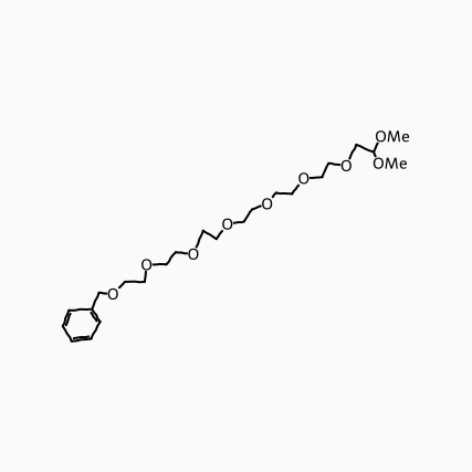 COC(COCCOCCOCCOCCOCCOCCOCc1ccccc1)OC